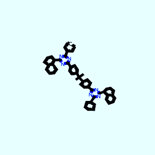 CC(C)(c1ccc(-c2nc(-c3ccccc3)nc(-c3cccc4ccccc34)n2)cc1)c1ccc(-c2nc(-c3ccccc3)nc(-c3cccc4ccccc34)n2)cc1